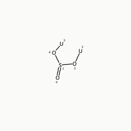 O=S([O][U])[O][U]